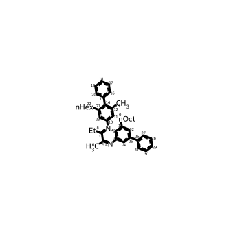 CCCCCCCCc1cc(N=C(C)C(CC)=Nc2cc(C)c(-c3ccccc3)c(CCCCCC)c2)cc(-c2ccccc2)c1